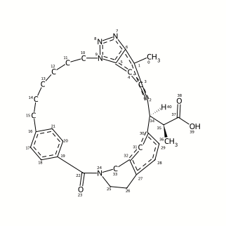 Cc1c2ccc3c1nnn3CCCCCCc1ccc(cc1)C(=O)N1CCc3ccc(cc3C1)[C@@H]2[C@H](C)C(=O)O